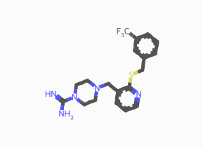 N=C(N)N1CCN(Cc2cccnc2SCc2cccc(C(F)(F)F)c2)CC1